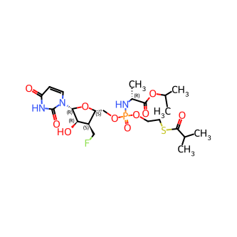 CC(C)OC(=O)[C@@H](C)NP(=O)(OCCSC(=O)C(C)C)OC[C@H]1O[C@@H](n2ccc(=O)[nH]c2=O)[C@H](O)[C@@H]1CF